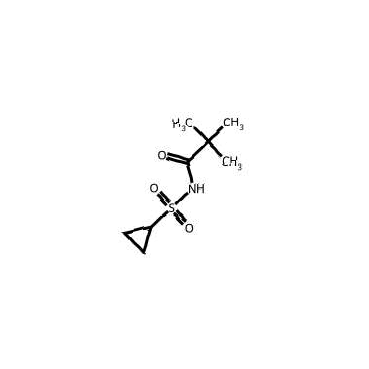 CC(C)(C)C(=O)NS(=O)(=O)C1CC1